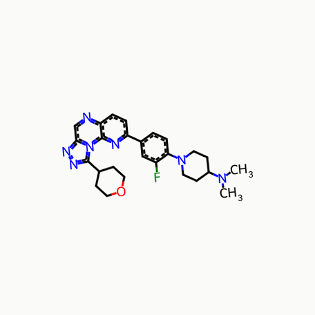 CN(C)C1CCN(c2ccc(-c3ccc4ncc5nnc(C6CCOCC6)n5c4n3)cc2F)CC1